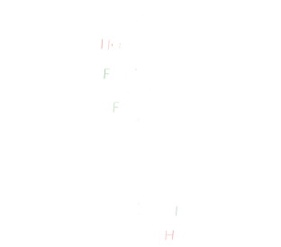 CCCC(O)c1ccc(/C=C/C2CCC(c3ccc(O)c(F)c3)CC2)c(F)c1F